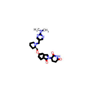 CN(C)c1ncc(CN2CCCC[C@@H]2COc2ccc3c(c2)C=[N+](C2CCC(=O)NC2=O)C3=O)cn1